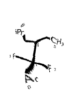 CC(=O)C(F)(F)[C@H](C)C(C)C